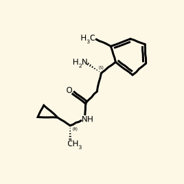 Cc1ccccc1[C@@H](N)CC(=O)N[C@H](C)C1CC1